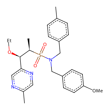 CCO[C@H](c1cnc(C)cn1)[C@@H](C)S(=O)(=O)N(Cc1ccc(C)cc1)Cc1ccc(OC)cc1